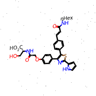 CCCCCCNC(=O)C=Cc1ccc(-c2sc(-c3ccc[nH]3)nc2-c2ccc(OCC(=O)N[C@H](CO)C(=O)O)cc2)cc1